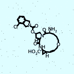 N[C@H]1CCCOC/C=C\[C@@H]2C[C@@]2(C(=O)O)NC(=O)[C@@H]2C[C@@H](OC(=O)N3Cc4cccc(Cl)c4C3)CN2C1=O